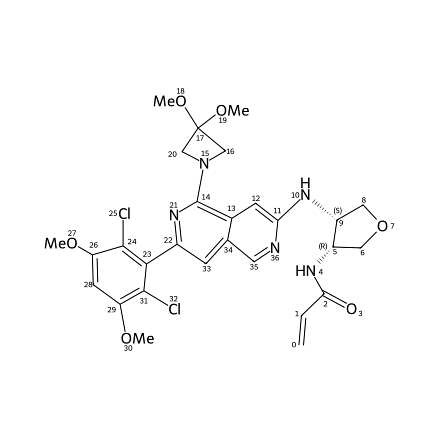 C=CC(=O)N[C@H]1COC[C@H]1Nc1cc2c(N3CC(OC)(OC)C3)nc(-c3c(Cl)c(OC)cc(OC)c3Cl)cc2cn1